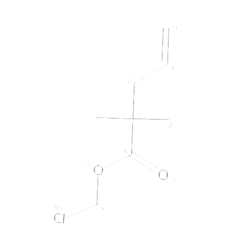 C=CCC(C)(C)C(=O)OCCl